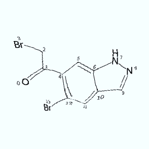 O=C(CBr)c1cc2[nH]ncc2cc1Br